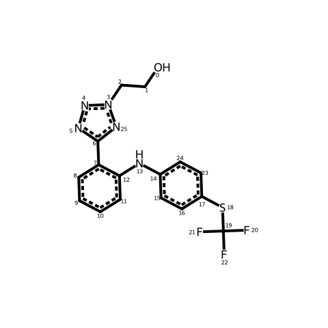 OCCn1nnc(-c2ccccc2Nc2ccc(SC(F)(F)F)cc2)n1